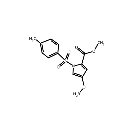 BOc1cc(C(=O)OC)n(S(=O)(=O)c2ccc(C)cc2)c1